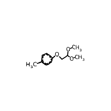 COC(COc1ccc(C)cc1)OC